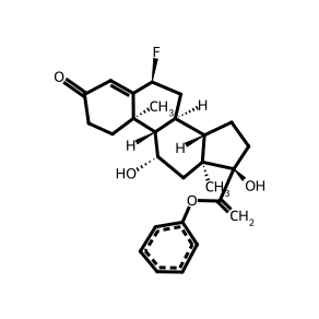 C=C(Oc1ccccc1)[C@@]1(O)CC[C@H]2[C@@H]3C[C@H](F)C4=CC(=O)CC[C@]4(C)[C@H]3[C@@H](O)C[C@@]21C